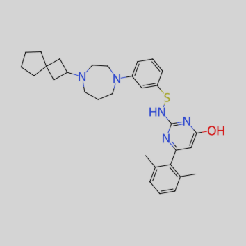 Cc1cccc(C)c1-c1cc(O)nc(NSc2cccc(N3CCCN(C4CC5(CCCC5)C4)CC3)c2)n1